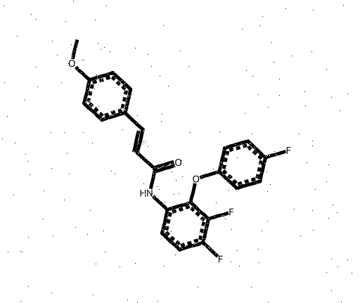 COc1ccc(/C=C/C(=O)Nc2ccc(F)c(F)c2Oc2ccc(F)cc2)cc1